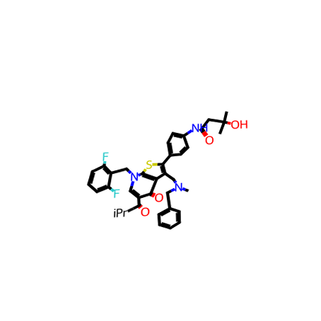 CC(C)C(=O)c1cn(Cc2c(F)cccc2F)c2sc(-c3ccc(NC(=O)CC(C)(C)O)cc3)c(CN(C)Cc3ccccc3)c2c1=O